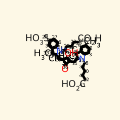 Cc1ccc2c(c1)C(C)(C)C(=CC1=C(O)C(=CC3=[N+](CCCCCC(=O)O)c4ccc(S(=O)(=O)O)cc4C3(C)C)C1=O)N2CCCCCC(=O)O